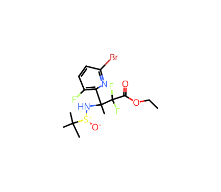 CCOC(=O)C(F)(F)C(C)(N[S@+]([O-])C(C)(C)C)c1nc(Br)ccc1F